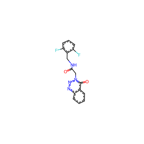 O=C(Cn1nnc2ccccc2c1=O)NCc1c(F)cccc1F